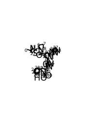 Cc1csc([C@H]2CCCN2C(=O)c2cc(-c3nnc([C@@](C)(Cc4ccccc4)NC(=O)O)o3)nc(-n3ccnn3)c2)n1